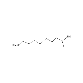 CCCCCCCCCCCCCCC(C)N=O